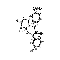 COc1cccc([C@@]23CCN(C)C[C@@]2(O)Cc2c([nH]c4ccc(F)cc24)C3)c1